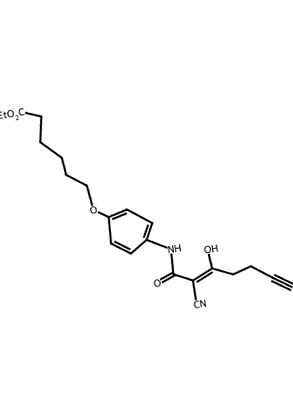 C#CCCC(O)=C(C#N)C(=O)Nc1ccc(OCCCCCC(=O)OCC)cc1